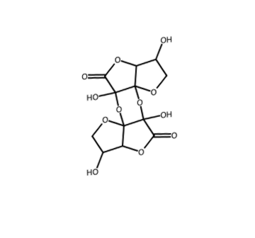 O=C1OC2C(O)COC23OC2(O)C(=O)OC4C(O)COC42OC13O